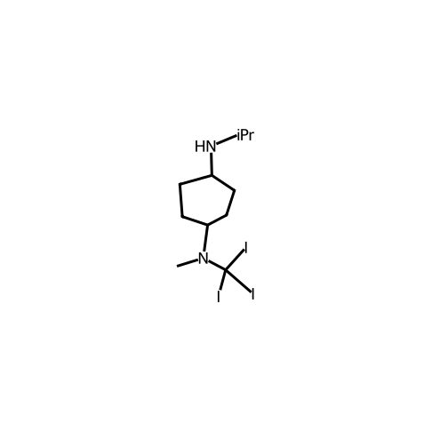 CC(C)NC1CCC(N(C)C(I)(I)I)CC1